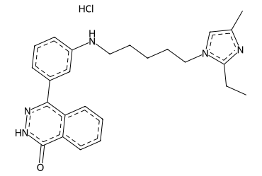 CCc1nc(C)cn1CCCCCNc1cccc(-c2n[nH]c(=O)c3ccccc23)c1.Cl